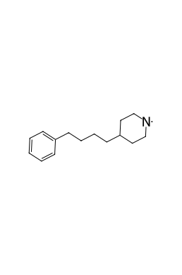 c1ccc(CCCCC2CC[N]CC2)cc1